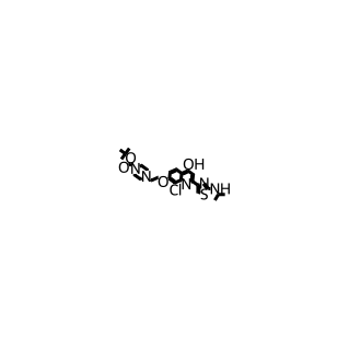 CC(C)Nc1nc(-c2cc(O)c3ccc(OCCN4CCN(C(=O)OC(C)(C)C)CC4)c(Cl)c3n2)cs1